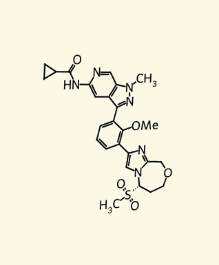 COc1c(-c2cn3c(n2)COCC[C@@H]3S(C)(=O)=O)cccc1-c1nn(C)c2cnc(NC(=O)C3CC3)cc12